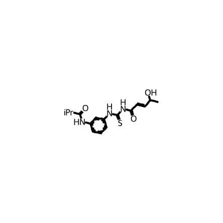 CC(O)/C=C/C(=O)NC(=S)Nc1cccc(NC(=O)C(C)C)c1